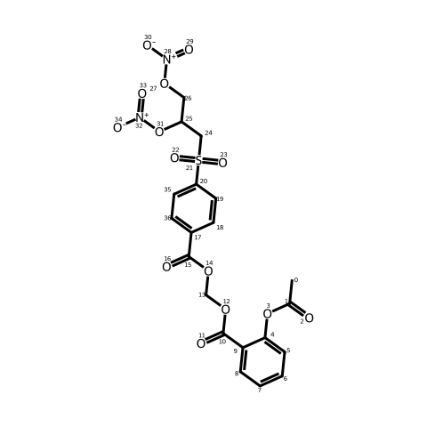 CC(=O)Oc1ccccc1C(=O)OCOC(=O)c1ccc(S(=O)(=O)CC(CO[N+](=O)[O-])O[N+](=O)[O-])cc1